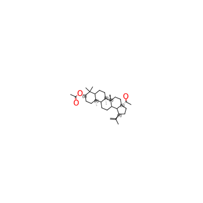 C=C(C)[C@@H]1CC[C@]2(C(C)=O)CC[C@]3(C)C(CCC4[C@@]5(C)CC[C@H](OC(C)=O)C(C)(C)C5CC[C@]43C)C12